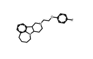 Fc1ccc(OCCN2CCC3C(C2)c2cccc4c2N3CCCC4)cc1